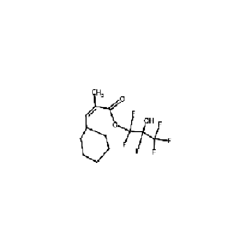 CC(=CC1CCCCC1)C(=O)OC(F)(F)C(O)(F)C(F)(F)F